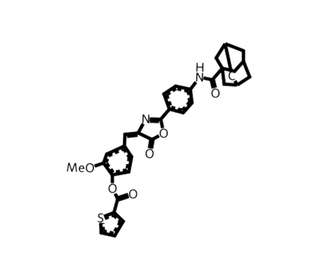 COc1cc(/C=C2/N=C(c3ccc(NC(=O)C45CC6CC(CC(C6)C4)C5)cc3)OC2=O)ccc1OC(=O)c1cccs1